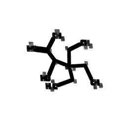 CC[Si](CC)(CC)C(O)C(C)=N